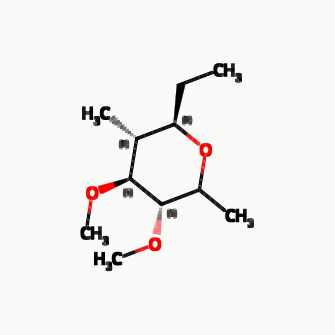 CC[C@H]1OC(C)[C@H](OC)[C@@H](OC)[C@@H]1C